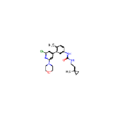 Cc1ccc(NC(=O)NCCC2(C)CC2)cc1-c1cc(Cl)nc(N2CCOCC2)c1